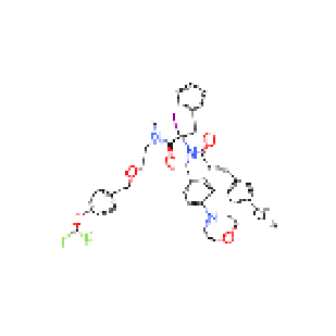 CN(CCOCc1ccc(OC(F)F)cc1)C(=O)C(I)(Cc1ccccc1)N(Cc1ccc(N2CCOCC2)cc1)C(=O)C=Cc1ccc(C(F)(F)F)cc1